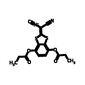 [C-]#[N+]C(C#N)=C1Sc2c(OC(=O)CC)ccc(OC(=O)CC)c2S1